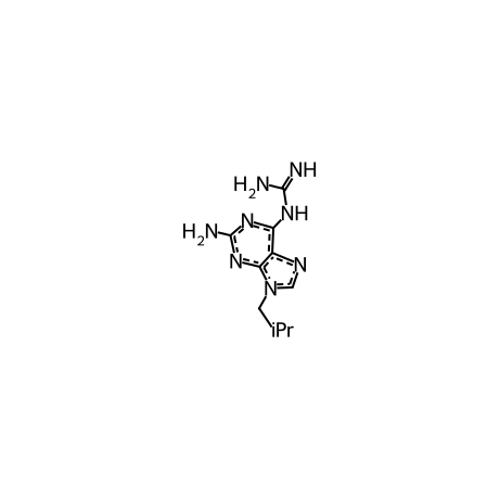 CC(C)Cn1cnc2c(NC(=N)N)nc(N)nc21